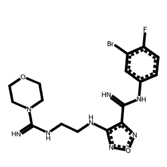 N=C(Nc1ccc(F)c(Br)c1)c1nonc1NCCNC(=N)N1CCOCC1